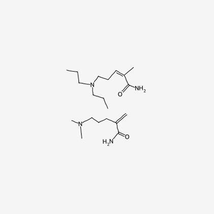 C=C(CCCN(C)C)C(N)=O.CCCN(CCC)CCC=C(C)C(N)=O